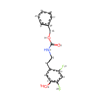 O=C(NCCc1cc(O)c(F)cc1F)OCc1ccccc1